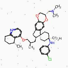 C[C@@H](COc1ccnc2c1[C@H](C)CCC2)C[C@H]1Cc2cc3c(cc2[C@]12CC[C@@](Nc1cccc(Cl)c1)(C(=O)O)CC2)O[C@@H](CN(C)C)CO3